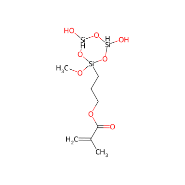 C=C(C)C(=O)OCCC[Si]1(OC)O[SiH](O)O[SiH](O)O1